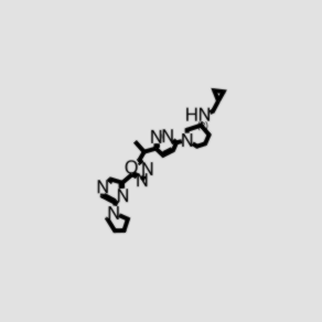 CC(c1ccc(N2CCC[C@@H](NCC3CC3)C2)nn1)c1nnc(-c2cncc(N3CCCC3)n2)o1